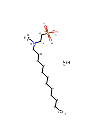 CCCCCCCCCCCCN(C)CCS(=O)(=O)O.[NaH]